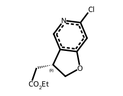 CCOC(=O)C[C@H]1COc2cc(Cl)ncc21